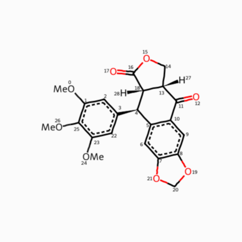 COc1cc([C@@H]2c3cc4c(cc3C(=O)[C@H]3COC(=O)[C@@H]23)OCO4)cc(OC)c1OC